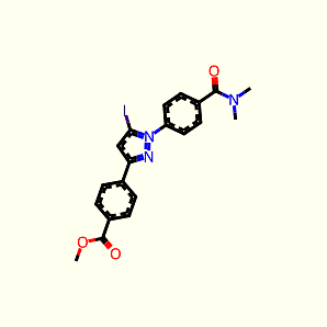 COC(=O)c1ccc(-c2cc(I)n(-c3ccc(C(=O)N(C)C)cc3)n2)cc1